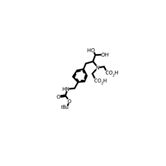 CC(C)(C)OC(=O)NCc1ccc(CC(C(O)O)N(CC(=O)O)CC(=O)O)cc1